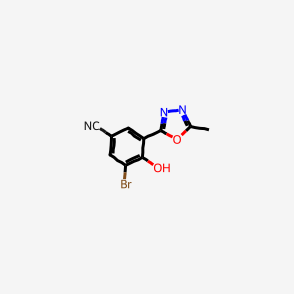 Cc1nnc(-c2cc(C#N)cc(Br)c2O)o1